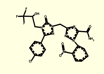 NC(=O)c1nc(Cn2nc(-c3ccc(Cl)cc3)n(CC(O)C(F)(F)F)c2=O)nn1-c1ccccc1[N+](=O)[O-]